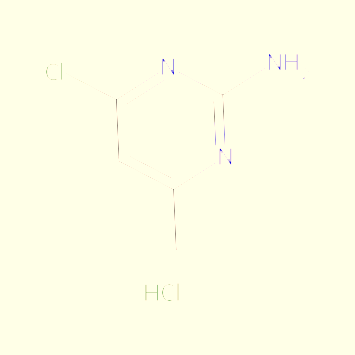 Cc1cc(Cl)nc(N)n1.Cl